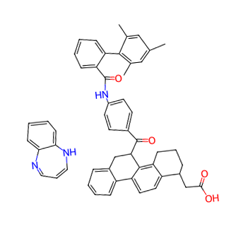 C1=CNc2ccccc2N=C1.Cc1cc(C)c(-c2ccccc2C(=O)Nc2ccc(C(=O)C3Cc4ccccc4-c4ccc5c(c43)CCCC5CC(=O)O)cc2)c(C)c1